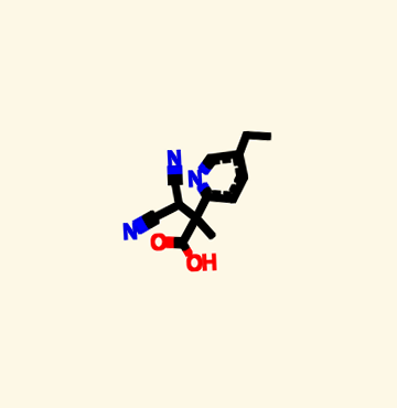 CCc1ccc(C(C)(C(=O)O)C(C#N)C#N)nc1